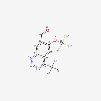 CC(C)(C)c1ncnc2cc(C=O)c(OC(F)(F)F)cc12